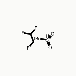 CC(C)(C)[SH](=O)=O.FCC(F)F